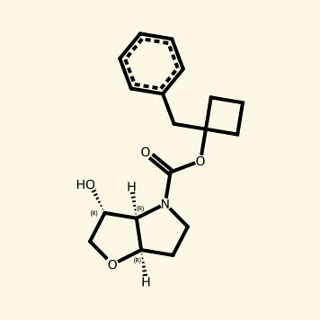 O=C(OC1(Cc2ccccc2)CCC1)N1CC[C@H]2OC[C@H](O)[C@H]21